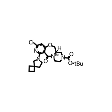 CC(C)(C)OC(=O)N1CCN2C(=O)c3c(cc(Cl)nc3N3CCC4(CCC4)C3)OC[C@H]2C1